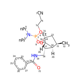 CCCN(CCC)P(OCCC#N)O[C@H]1[C@H]2[C@H](C)C[C@]1(CC)O[C@H]2CNC(=O)c1ccccc1